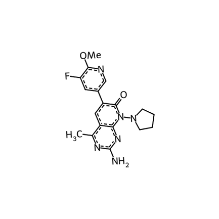 COc1ncc(-c2cc3c(C)nc(N)nc3n(N3CCCC3)c2=O)cc1F